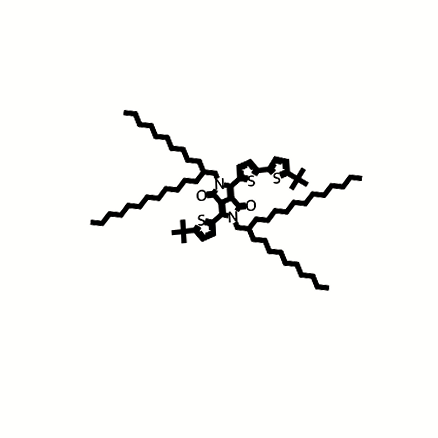 CCCCCCCCCCCCC(CCCCCCCCCC)CN1C(=O)C2=C(c3ccc(C(C)(C)C)s3)N(CC(CCCCCCCCCC)CCCCCCCCCCCC)C(=O)C2=C1c1ccc(-c2ccc(C(C)(C)C)s2)s1